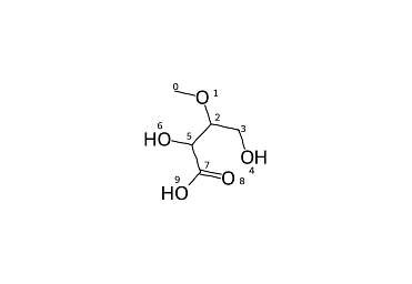 COC(CO)C(O)C(=O)O